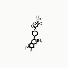 CS(=O)(=O)CC(=O)N1CCC(C(N)Cc2cc(F)c(F)cc2F)CC1